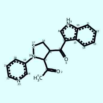 CC(=O)C1C(C(=O)c2c[nH]c3ccccc23)CSN1c1cccnc1